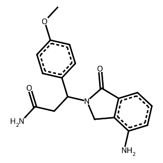 COc1ccc(C(CC(N)=O)N2Cc3c(N)cccc3C2=O)cc1